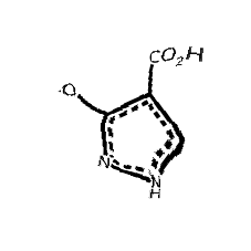 [O]c1n[nH]cc1C(=O)O